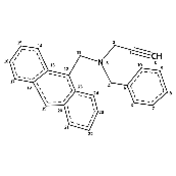 C#CCN(Cc1ccccc1)Cc1c2ccccc2cc2ccccc12